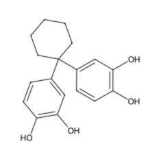 Oc1ccc(C2(c3ccc(O)c(O)c3)CCCCC2)cc1O